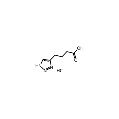 Cl.O=C(O)CCCc1c[nH]nn1